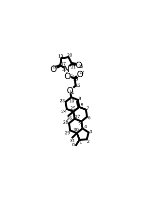 CC1CCC2C3CCC4=CC(OCC(=O)ON5C(=O)CCC5=O)CCC4(C)C3CCC12C